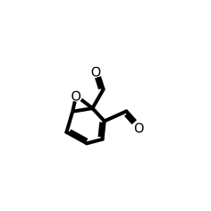 O=CC1=CC=CC2OC12C=O